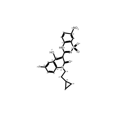 O=c1c(C2=NS(=O)(=O)c3cc([N+](=O)[O-])ccc3N2)c(O)c2cc(F)ccc2n1CCC1CC1